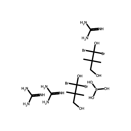 CC(C)(CO)C(O)(Br)Br.CC(C)(CO)C(O)(Br)Br.N=C(N)N.N=C(N)N.N=C(N)N.OB(O)O